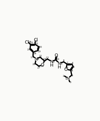 CN(C)Cc1ccc(CNC(=O)NCC2CN(Cc3ccc(Cl)c(Cl)c3)CCO2)o1